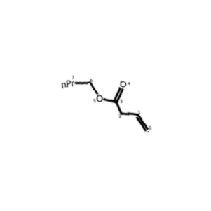 [CH]=CCC(=O)OCCCC